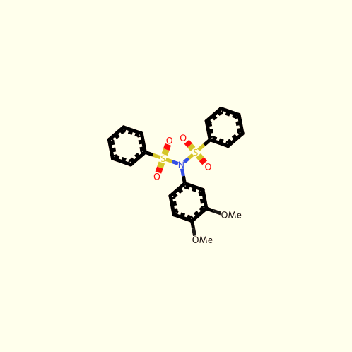 COc1ccc(N(S(=O)(=O)c2ccccc2)S(=O)(=O)c2ccccc2)cc1OC